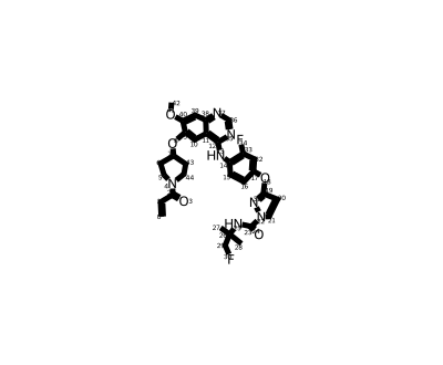 C=CC(=O)N1CCC(Oc2cc3c(Nc4ccc(Oc5ccn(C(=O)NC(C)(C)CF)n5)cc4F)ncnc3cc2OC)CC1